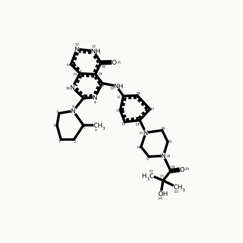 CC1CCCCN1c1nc(Nc2ccc(N3CCN(C(=O)C(C)(C)O)CC3)cc2)c2c(=O)[nH]ncc2n1